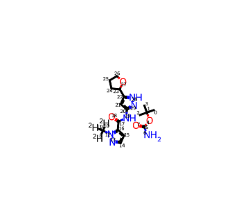 CC(C)(C)OC(N)=O.[2H]C([2H])([2H])n1nccc1C(=O)Nc1cc(C2CCCO2)[nH]n1